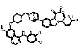 COc1cc2ncnc(Nc3ccc(Cl)c(Cl)c3F)c2cc1OC1CCC(CN2CC3CCC2CN3c2ccc3c(c2)C(C(=O)C=O)N(C2CCC(=O)NC2=O)C3)CC1